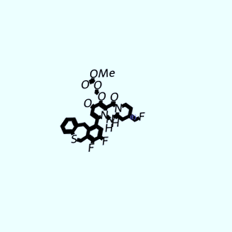 COC(=O)OCOc1c2n(c(-c3cc(F)c(F)c4c3Cc3ccccc3SC4)cc1=O)N[C@@H]1C/C(=C/F)CCN1C2=O